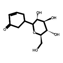 O=C1C=CCC(C2O[C@H](CO)[C@@H](O)[C@H](O)[C@H]2O)C1